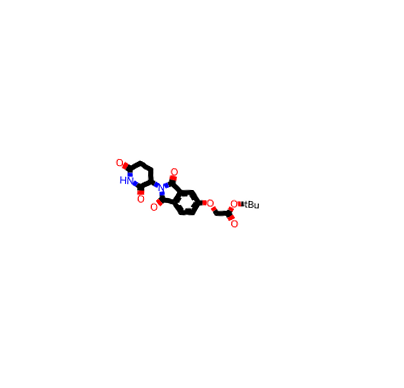 CC(C)(C)OC(=O)COc1ccc2c(c1)C(=O)N(C1CCC(=O)NC1=O)C2=O